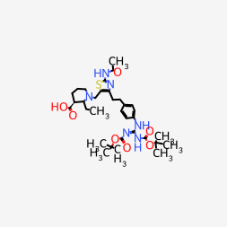 CCC1[C@@H](C(=O)O)CCCN1Cc1sc(NC(C)=O)nc1CCc1ccc(NC(=NC(=O)OC(C)(C)C)NC(=O)OC(C)(C)C)cc1